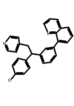 Clc1ccc(C(Cc2ccncc2)c2cccc(-c3cccc4cccnc34)c2)cc1